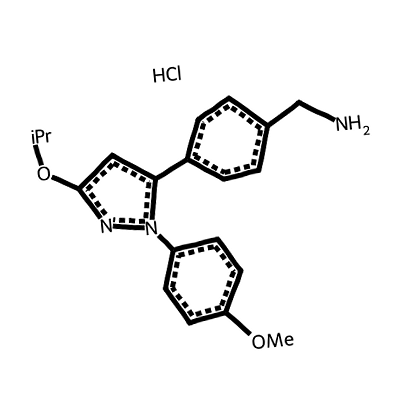 COc1ccc(-n2nc(OC(C)C)cc2-c2ccc(CN)cc2)cc1.Cl